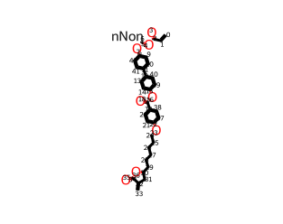 C=CC(=O)OC(CCCCCCCCC)Oc1ccc(-c2ccc(OC(=O)c3ccc(OCCCCCCC4CC(=C)C(=O)O4)cc3)cc2)cc1